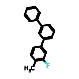 Cc1ccc(-c2cccc(-c3ccccc3)c2)cc1F